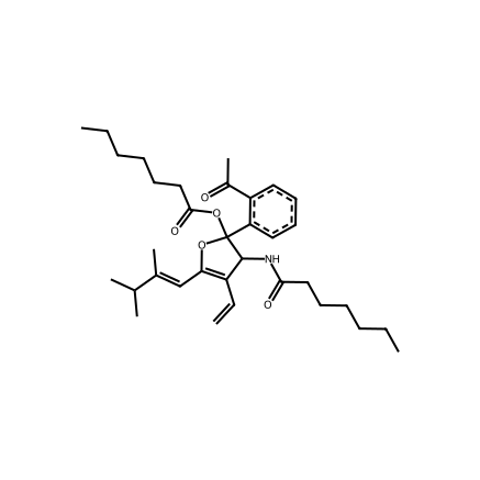 C=CC1=C(/C=C(\C)C(C)C)OC(OC(=O)CCCCCC)(c2ccccc2C(C)=O)C1NC(=O)CCCCCC